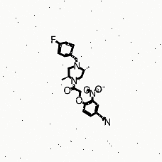 C[C@@H]1CN(C(=O)COc2ccc(C#N)cc2[N+](=O)[O-])[C@@H](C)CN1Cc1ccc(F)cc1